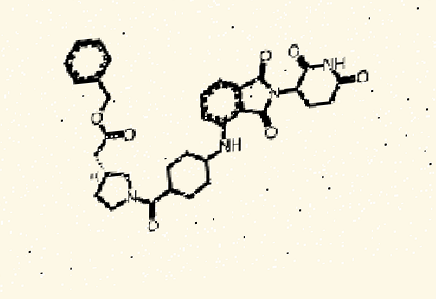 O=C1CCC(N2C(=O)c3cccc(NC4CCC(C(=O)N5CC[C@H](CC(=O)OCc6ccccc6)C5)CC4)c3C2=O)C(=O)N1